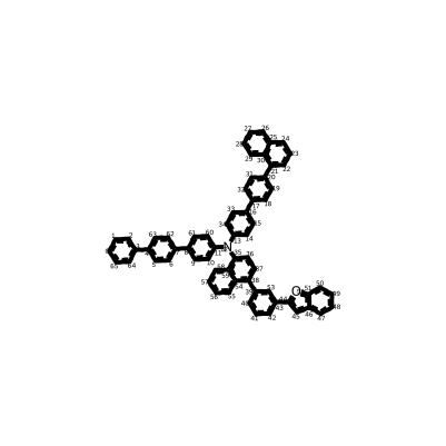 c1ccc(-c2ccc(-c3ccc(N(c4ccc(-c5ccc(-c6cccc7ccccc67)cc5)cc4)c4ccc(-c5cccc(-c6cc7ccccc7o6)c5)c5ccccc45)cc3)cc2)cc1